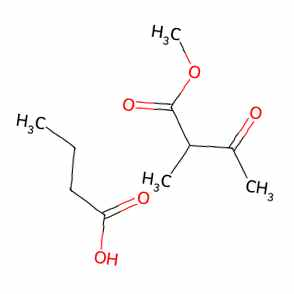 CCCC(=O)O.COC(=O)C(C)C(C)=O